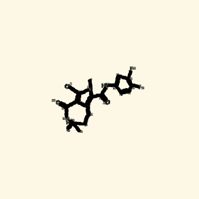 Cn1c(Cl)c2c(c1C(=O)Nc1ccc(F)c(F)c1)CCC(C)(C)NC2=O